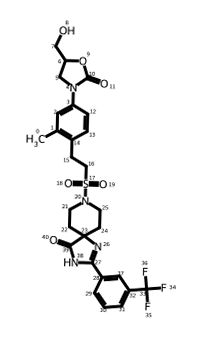 Cc1cc(N2CC(CO)OC2=O)ccc1CCS(=O)(=O)N1CCC2(CC1)N=C(c1cccc(C(F)(F)F)c1)NC2=O